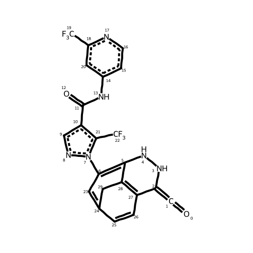 O=C=C1NNC2=C(n3ncc(C(=O)Nc4ccnc(C(F)(F)F)c4)c3C(F)(F)F)C=C3C=CC1=C2C3